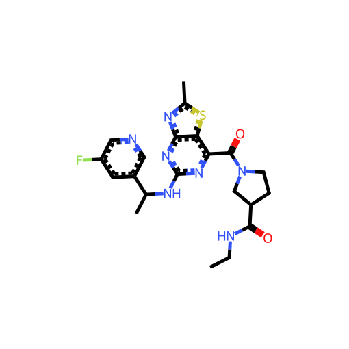 CCNC(=O)C1CCN(C(=O)c2nc(NC(C)c3cncc(F)c3)nc3nc(C)sc23)C1